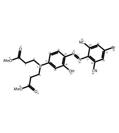 COC(=O)CCN(CCC(=O)OC)c1ccc(/N=N/c2c(C#N)cc(Br)cc2C#N)c(O)c1